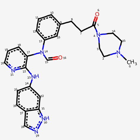 CN1CCN(C(=O)CCc2cccc(N(C=O)c3cccnc3Nc3ccc4cn[nH]c4c3)c2)CC1